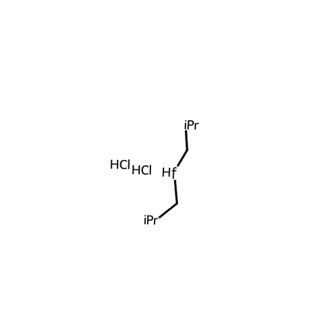 CC(C)[CH2][Hf][CH2]C(C)C.Cl.Cl